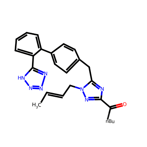 CC=CCn1nc(C(=O)CCCC)nc1Cc1ccc(-c2ccccc2-c2nnn[nH]2)cc1